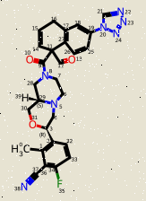 Cc1c([C@@H]2CN3CCN(C(=O)C4(C=O)C=CCc5cc(-n6cnnn6)ccc54)C[C@H]3CO2)ccc(F)c1C#N